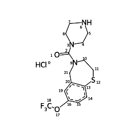 Cl.O=C(N1CCNCC1)N1CCSc2ccc(OC(F)(F)F)cc2C1